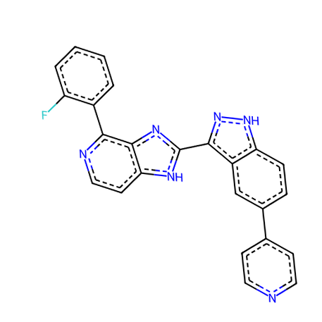 Fc1ccccc1-c1nccc2[nH]c(-c3n[nH]c4ccc(-c5ccncc5)cc34)nc12